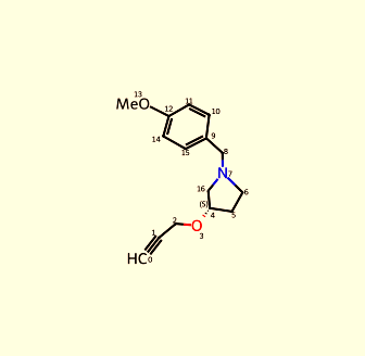 C#CCO[C@H]1CCN(Cc2ccc(OC)cc2)C1